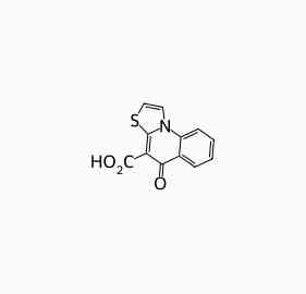 O=C(O)c1c(=O)c2ccccc2n2ccsc12